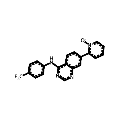 [O-][n+]1ccccc1-c1ccc2c(Nc3ccc(C(F)(F)F)cc3)ncnc2c1